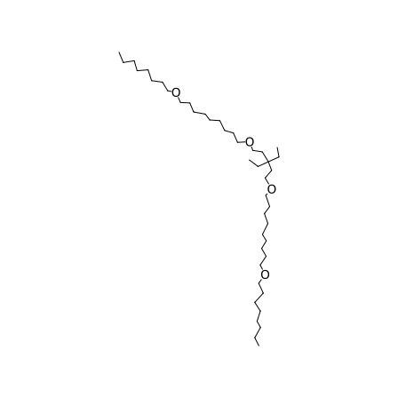 CCCCCCCCOCCCCCCCCCOCCC(CC)(CC)CCOCCCCCCCCCOCCCCCCCC